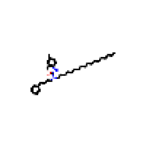 CCCCCCCCCCCCCCCCCCN(CCCCc1ccccc1)C(=O)Nc1ccc(C)cc1C